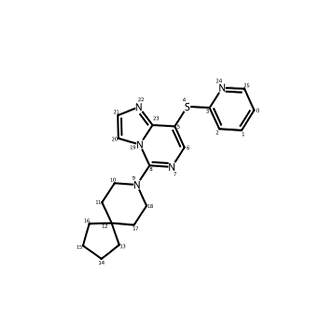 c1ccc(Sc2cnc(N3CCC4(CCCC4)CC3)n3ccnc23)nc1